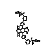 CCCCCCCCCCC(F)(F)c1cccc(-c2ccc(-c3c4c(c(-c5ccc(-c6cccc(C(F)(F)CCCCCCCCCC)c6)s5)c5nsnc35)NSN4)s2)c1